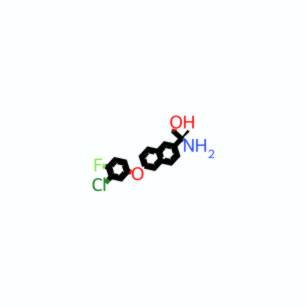 C[C@](N)(CO)c1ccc2cc(Oc3ccc(F)c(Cl)c3)ccc2c1